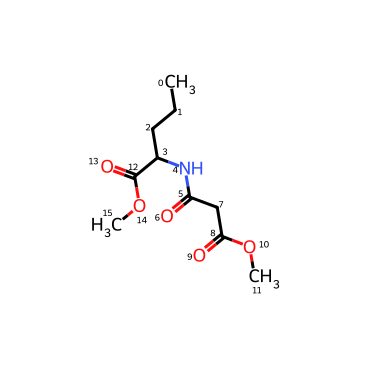 CCCC(NC(=O)CC(=O)OC)C(=O)OC